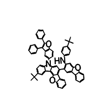 CC(C)(C)c1ccc(Nc2cc3oc4ccccc4c3cc2-c2cc3c(c4cc(C(C)(C)C)ccc4n3-c3ccc4oc(-c5ccccc5)c(-c5ccccc5)c4c3)c3oc4ccccc4c23)cc1